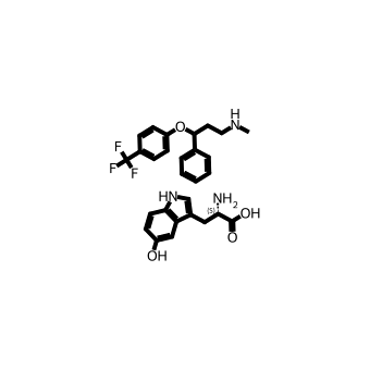 CNCCC(Oc1ccc(C(F)(F)F)cc1)c1ccccc1.N[C@@H](Cc1c[nH]c2ccc(O)cc12)C(=O)O